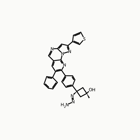 C[C@]1(O)C[C@@](N=NN)(c2ccc(-c3nc4c(cnc5cc(-c6ccsc6)nn54)cc3-c3ccccc3)cc2)C1